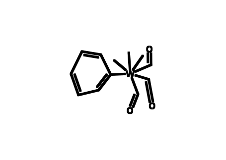 [CH3][W]([CH3])([CH3])([CH]=O)([CH]=O)([CH]=O)[c]1ccccc1